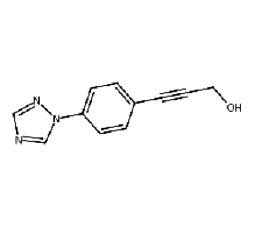 OCC#Cc1ccc(-n2cncn2)cc1